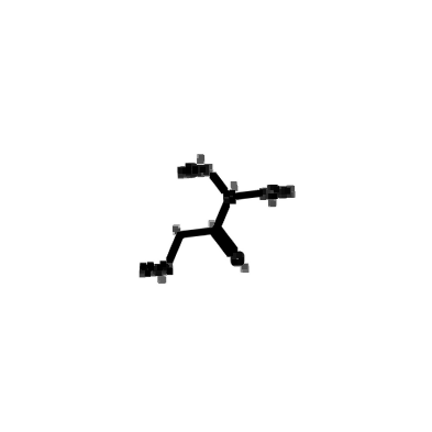 CCCCCCCCCCN(CCCCCCCCCC)C(=O)CNC